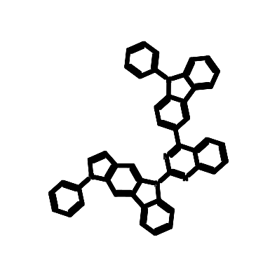 c1ccc(-n2ccc3cc4c(cc32)c2ccccc2n4-c2nc(-c3ccc4c(c3)c3ccccc3n4-c3ccccc3)c3ccccc3n2)cc1